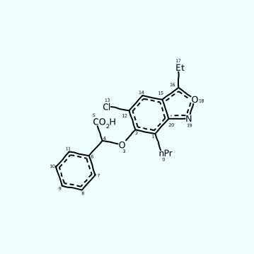 CCCc1c(OC(C(=O)O)c2ccccc2)c(Cl)cc2c(CC)onc12